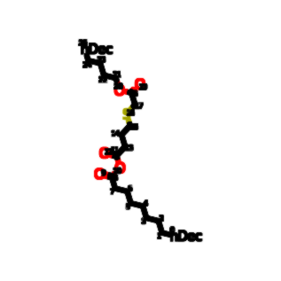 CCCCCCCCCCCCCCCCCC(=O)OC(=O)CCCSCC(=O)OCCCCCCCCCCCCCC